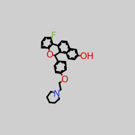 Oc1ccc2c3c(ccc2c1)-c1c(F)cccc1OC3c1ccc(OCCN2CCCCC2)cc1